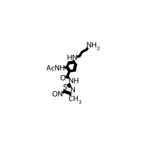 CC(=O)Nc1cc(NCCCN)ccc1C(=O)Nc1nc(C)c(N=O)s1